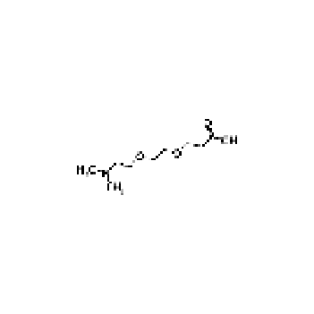 CN(C)CCOCCOCCC(=O)O